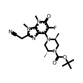 C[C@@H]1CN(c2c(F)c(=O)n(C)c3c2nc(CC#N)n3C)[C@@H](C)CN1C(=O)OC(C)(C)C